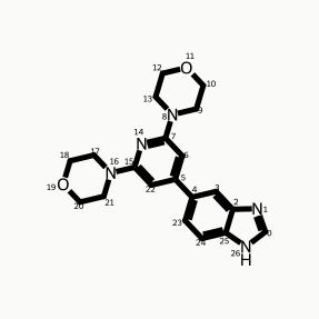 c1nc2cc(-c3cc(N4CCOCC4)nc(N4CCOCC4)c3)ccc2[nH]1